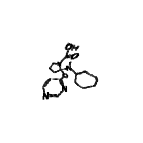 CN(C1CCCCC1)C1(Oc2ccncn2)CCCN1C(=O)O